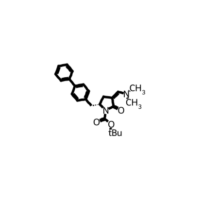 CN(C)C=C1C[C@@H](Cc2ccc(-c3ccccc3)cc2)N(C(=O)OC(C)(C)C)C1=O